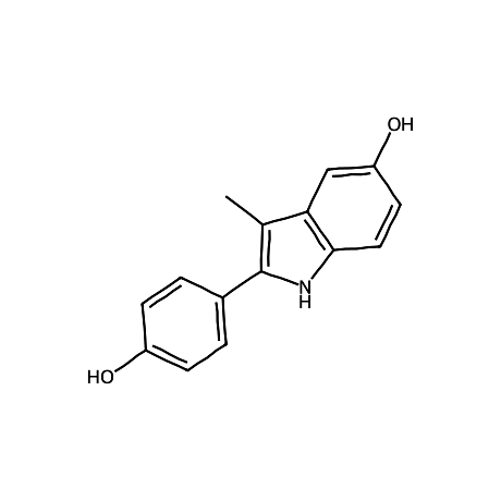 Cc1c(-c2ccc(O)cc2)[nH]c2ccc(O)cc12